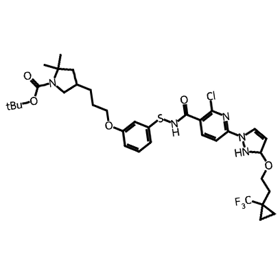 CC(C)(C)OC(=O)N1CC(CCCOc2cccc(SNC(=O)c3ccc(N4C=CC(OCCC5(C(F)(F)F)CC5)N4)nc3Cl)c2)CC1(C)C